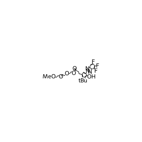 COCCOCCOCCOC(=O)CCc1cc(-n2nc3cc(F)c(F)c(F)c3n2)c(O)c(C(C)(C)C)c1